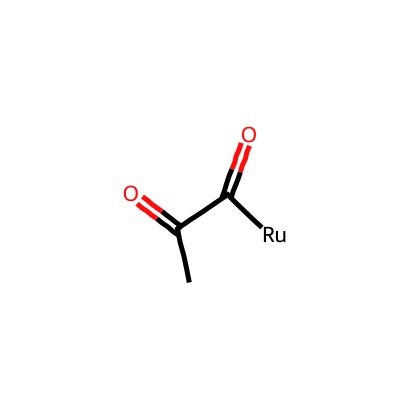 CC(=O)[C](=O)[Ru]